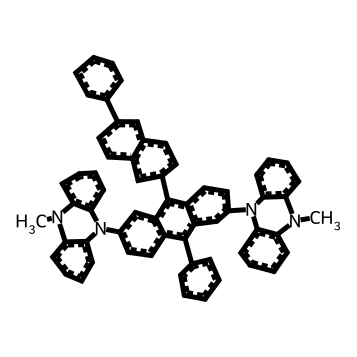 CN1c2ccccc2N(c2ccc3c(-c4ccc5cc(-c6ccccc6)ccc5c4)c4cc(N5c6ccccc6N(C)c6ccccc65)ccc4c(-c4ccccc4)c3c2)c2ccccc21